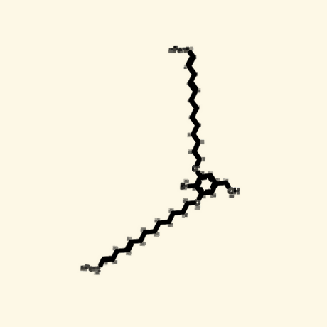 CCCCCC=CCC=CCCCCCCCCOc1cc(CO)cc(OCCCCCCCCC=CCC=CCCCCC)c1Br